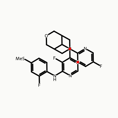 CSc1ccc(Nc2ncnc(OC3C4COCC3CN(c3ncc(F)cn3)C4)c2F)c(F)c1